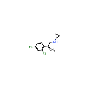 C=C(CNC1CC1)c1ccc(Cl)cc1Cl